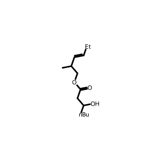 CC/C=C/C(C)COC(=O)CC(O)CCCC